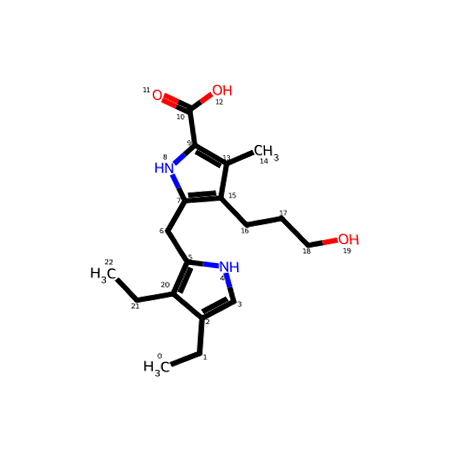 CCc1c[nH]c(Cc2[nH]c(C(=O)O)c(C)c2CCCO)c1CC